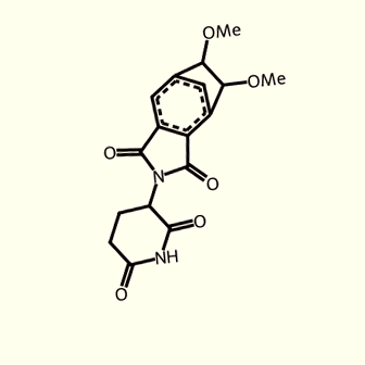 COC1c2cc3c(c(c2)C1OC)C(=O)N(C1CCC(=O)NC1=O)C3=O